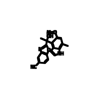 COc1cc(C)c2[nH]ccc2c1C(C)(O)c1nc2cc(C#N)ccc2o1